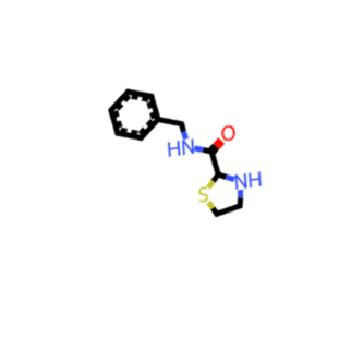 O=C(NCc1ccccc1)C1NCCS1